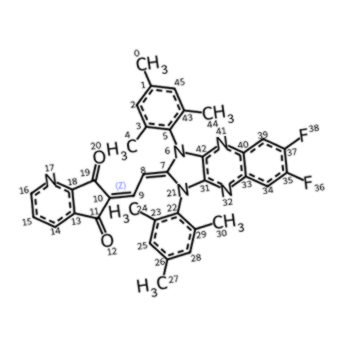 Cc1cc(C)c(N2C(=C/C=C3/C(=O)c4cccnc4C3=O)N(c3c(C)cc(C)cc3C)c3nc4cc(F)c(F)cc4nc32)c(C)c1